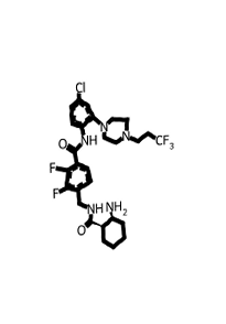 N[C@H]1CCCC[C@H]1C(=O)NCc1ccc(C(=O)Nc2ccc(Cl)cc2N2CCN(CCC(F)(F)F)CC2)c(F)c1F